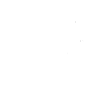 CC(C)c1c(N2CCCC2)cc(C(C)(C)c2ccc(Cl)c(Cl)c2)cc1C(F)(F)F